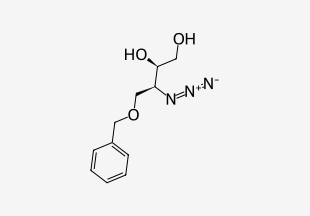 [N-]=[N+]=N[C@@H](COCc1ccccc1)[C@@H](O)CO